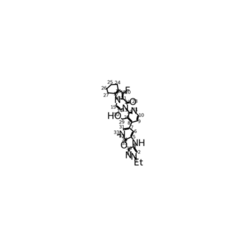 CCn1cc(Nc2cc(-c3ccnc(-n4ccn5c6c(c(F)c5c4=O)CCCC6)c3CO)cn(C)c2=O)cn1